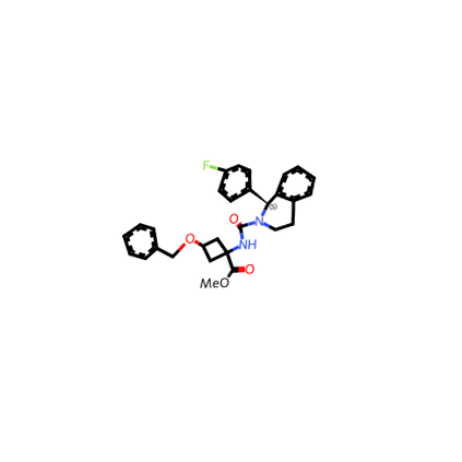 COC(=O)C1(NC(=O)N2CCc3ccccc3[C@@H]2c2ccc(F)cc2)CC(OCc2ccccc2)C1